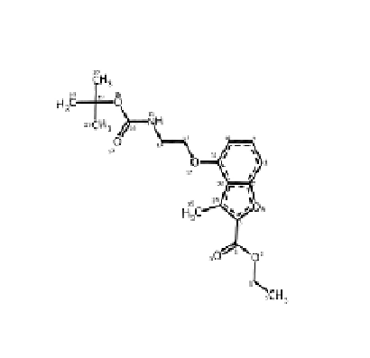 CCOC(=O)c1oc2cccc(OCCNC(=O)OC(C)(C)C)c2c1C